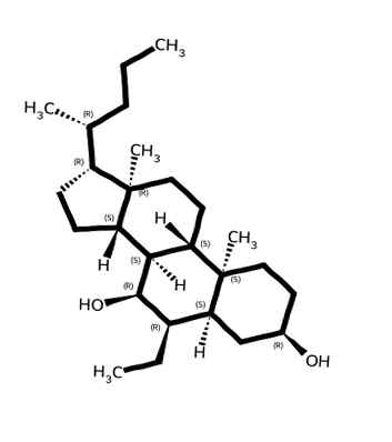 CCC[C@@H](C)[C@H]1CC[C@H]2[C@@H]3[C@H](O)[C@H](CC)[C@@H]4C[C@H](O)CC[C@]4(C)[C@H]3CC[C@]12C